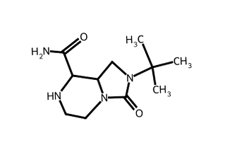 CC(C)(C)N1CC2C(C(N)=O)NCCN2C1=O